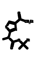 CCOC(=O)C(=O)c1csc(N(C)C(=O)OC(C)(C)CC)n1